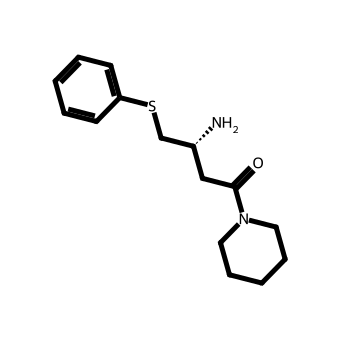 N[C@@H](CSc1ccccc1)CC(=O)N1CCCCC1